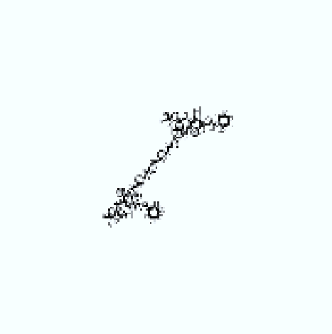 CC(C)(C)OC(=O)C[C@H](NC(=O)OCc1ccccc1)C(=O)NCCOCCOCCOCCOCCNC(=O)[C@H](CC(=O)OC(C)(C)C)NC(=O)OCc1ccccc1